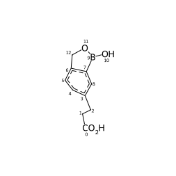 O=C(O)CCc1ccc2c(c1)B(O)OC2